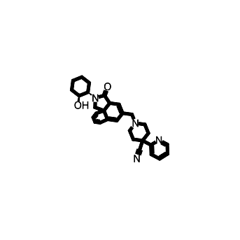 N#CC1(c2ccccn2)CCN(CC2=CC3C(=O)N([C@H]4CCCC[C@@H]4O)CC34C=CC=CC4=C2)CC1